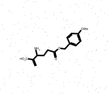 C=C(C(=O)O)C(N)CCC(=O)OCc1ccc(OC)cc1